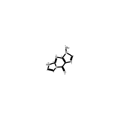 CC(C)(C)n1cnc2c(=O)n3cc[nH]c3nc21